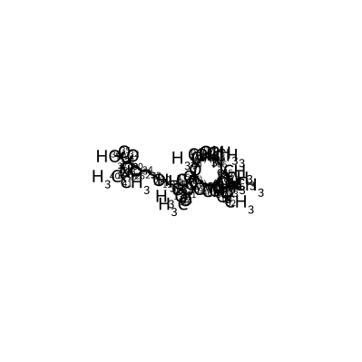 CC[C@H]1OC(=O)[C@H](C)[C@@H](O[C@H]2C[C@@](C)(OC)[C@@H](OCCCOCC=Cc3ccc4c(c3)c(=O)c(C(=O)O)cn4C(C)C)[C@H](C)O2)[C@H](C)[C@@H](O[C@@H]2O[C@H](C)C[C@H](N(C)C)[C@H]2O)[C@](C)(O)C[C@@H](C)CN(C)[C@H](C)[C@@H](O)[C@]1(C)O